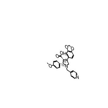 COc1ccc([C@@H]2[C@@H](C(=O)O)[C@@H](c3ccc4c(c3)OCO4)CN2Cc2ccncc2)cc1